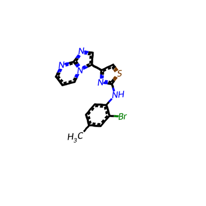 Cc1ccc(Nc2nc(-c3cnc4ncccn34)cs2)c(Br)c1